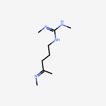 C/N=C(/NC)NCCC/C(C)=N/C